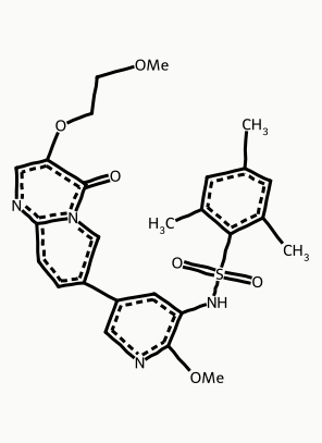 COCCOc1cnc2ccc(-c3cnc(OC)c(NS(=O)(=O)c4c(C)cc(C)cc4C)c3)cn2c1=O